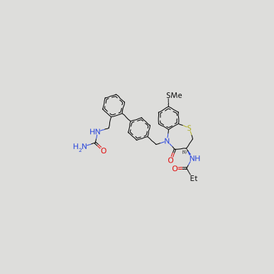 CCC(=O)N[C@@H]1CSc2cc(SC)ccc2N(Cc2ccc(-c3ccccc3CNC(N)=O)cc2)C1=O